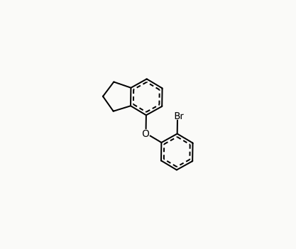 Brc1ccccc1Oc1cccc2c1CCC2